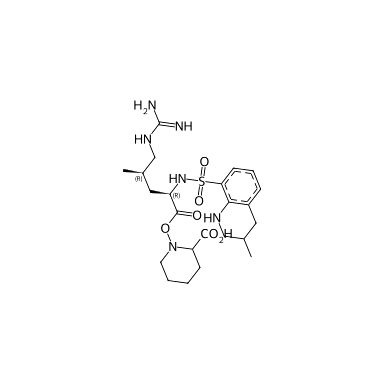 CC1CNc2c(cccc2S(=O)(=O)N[C@H](C[C@@H](C)CNC(=N)N)C(=O)ON2CCCCC2C(=O)O)C1